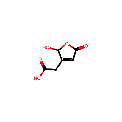 O=C(O)CC1=CC(=O)OC1O